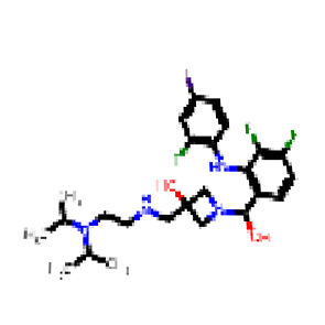 CC(C)N(CCNCC1(O)CN(C(O)c2ccc(F)c(F)c2Nc2ccc(I)cc2F)C1)C(C)C